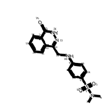 CN(C)S(=O)(=O)c1ccc(NCc2n[nH]c(=O)c3ccccc23)cc1